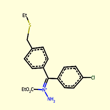 CCOC(=O)[N+](N)=C(c1ccc(Cl)cc1)c1ccc(CSCC)cc1